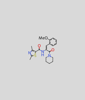 COc1ccccc1/C=C(/NC(=O)c1sc(C)nc1C)C(=O)N1CCCCC1